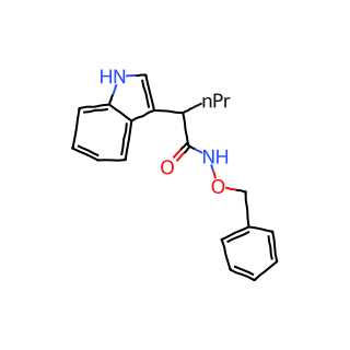 CCCC(C(=O)NOCc1ccccc1)c1c[nH]c2ccccc12